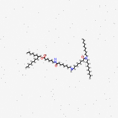 CCCCCCCCCCN(CCCCCCCCCC)C(=O)CCCCCCCN(C)CCCCCCCC(=O)NCCCCCC(=O)OCC(CCCCCC)CCCCCCCC